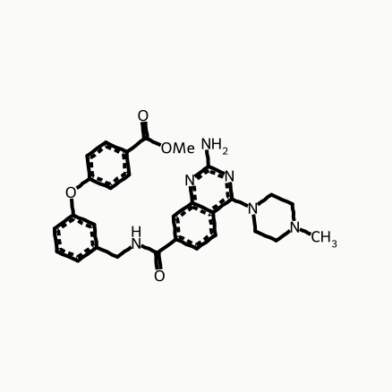 COC(=O)c1ccc(Oc2cccc(CNC(=O)c3ccc4c(N5CCN(C)CC5)nc(N)nc4c3)c2)cc1